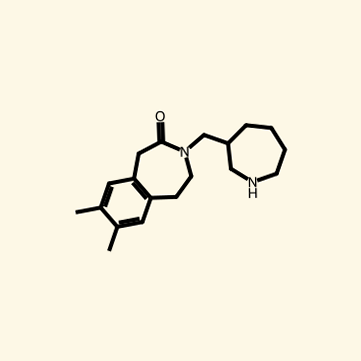 Cc1cc2c(cc1C)CC(=O)N(CC1CCCCNC1)CC2